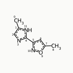 Cc1cnc(-c2cc(C)on2)[nH]1